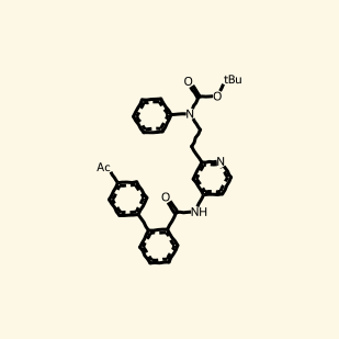 CC(=O)c1ccc(-c2ccccc2C(=O)Nc2ccnc(CCN(C(=O)OC(C)(C)C)c3ccccc3)c2)cc1